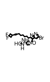 Cn1c(CCCCCCC#CC2CC(F)(F)C2)c(C(=O)N2CC[C@H](C(=N)NO)C2)c2cc(Br)cnc21